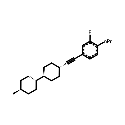 CCCc1ccc(C#C[C@H]2CC[C@H]([C@H]3CC[C@H](C)CC3)CC2)cc1F